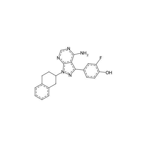 Nc1ncnc2c1c(-c1ccc(O)c(F)c1)nn2C1CCc2ccccc2C1